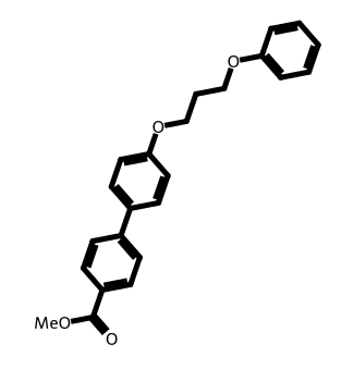 COC(=O)c1ccc(-c2ccc(OCCCOc3ccccc3)cc2)cc1